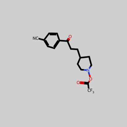 N#Cc1ccc(C(=O)CCC2CCN(OC(=O)C(F)(F)F)CC2)cc1